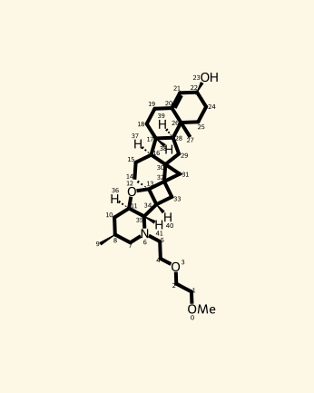 COCCOCCN1C[C@@H](C)C[C@H]2O[C@@]34CC[C@H]5[C@@H]6CCC7=C[C@@H](O)CCC7(C)[C@H]6CC56CC63C[C@@H]4[C@@H]21